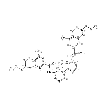 Cc1cc(C(=O)Nc2cccc(-c3cccc(NC(=O)c4cc(C)c5c(n4)CN(CCO)CC5)c3C)c2C)nc2c1CCN(CCO)C2